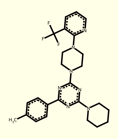 Cc1ccc(-c2nc(N3CCCCC3)nc(N3CCN(c4ncccc4C(F)(F)F)CC3)n2)cc1